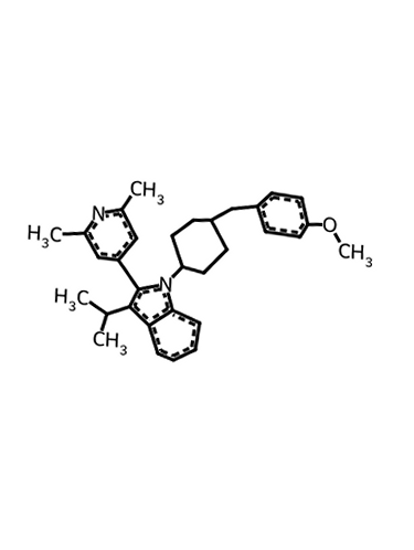 COc1ccc(CC2CCC(n3c(-c4cc(C)nc(C)c4)c(C(C)C)c4ccccc43)CC2)cc1